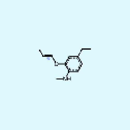 C/C=C/Oc1cc(CC)ccc1NC